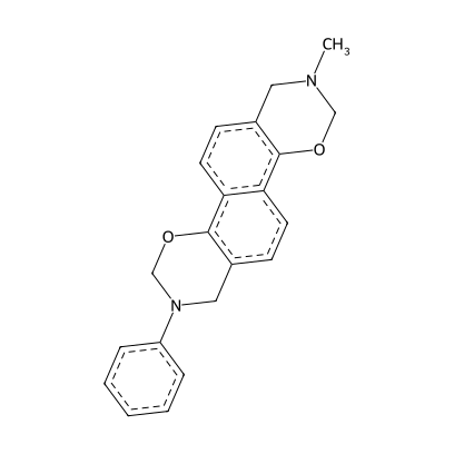 CN1COc2c(ccc3c4c(ccc23)CN(c2ccccc2)CO4)C1